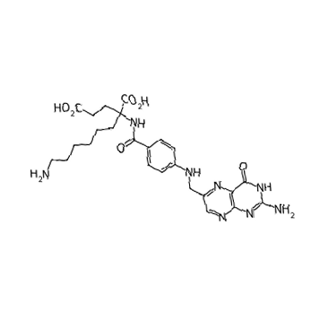 NCCCCCCC(CCC(=O)O)(NC(=O)c1ccc(NCc2cnc3nc(N)[nH]c(=O)c3n2)cc1)C(=O)O